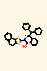 O=C(O)C(N=C(B(c1ccccc1)c1ccccc1)c1ccccc1)=C1SC2=C(S1)c1ccccc1CC2